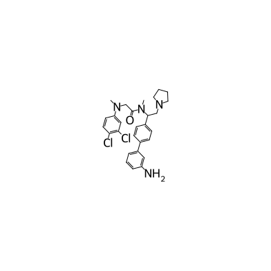 CN(CC(=O)N(C)C(CN1CCCC1)c1ccc(-c2cccc(N)c2)cc1)c1ccc(Cl)c(Cl)c1